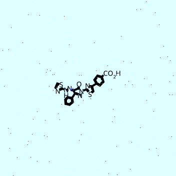 O=C(O)c1ccc(-c2csc(N3N=C(c4ccccc4)/C(=N\Nc4nccs4)C3=O)n2)cc1